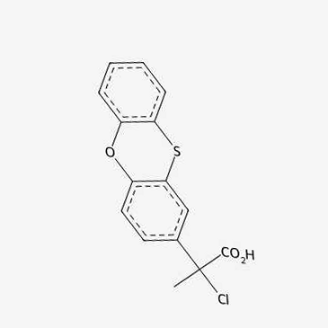 CC(Cl)(C(=O)O)c1ccc2c(c1)Sc1ccccc1O2